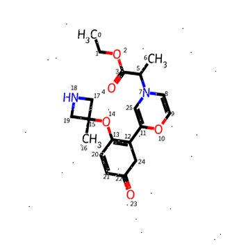 CCOC(=O)C(C)N1C=COC(C2=C(OC3(C)CNC3)C=CC(=O)C2)=C1